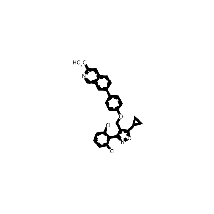 O=C(O)c1cc2ccc(-c3ccc(OCc4c(-c5c(Cl)cccc5Cl)noc4C4CC4)cc3)cc2cn1